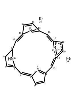 C1=CC2=NC1=CC1=CCC(C=C3C=CC(=N3)C=c3ccc([nH]3)=C2)N1.[Fe].[K]